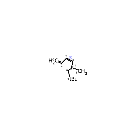 C=C/C=C\N(C)CC(C)(C)C